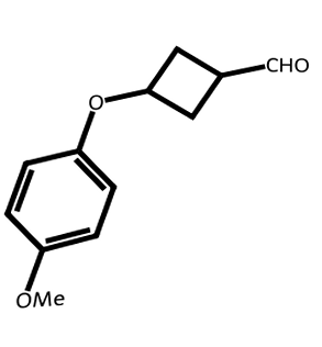 COc1ccc(OC2CC(C=O)C2)cc1